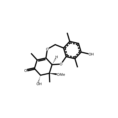 CO[C@@]1(C)[C@H](O)C(=O)C(C)=C2OCc3c(C)cc(O)c(C)c3O[C@H]21